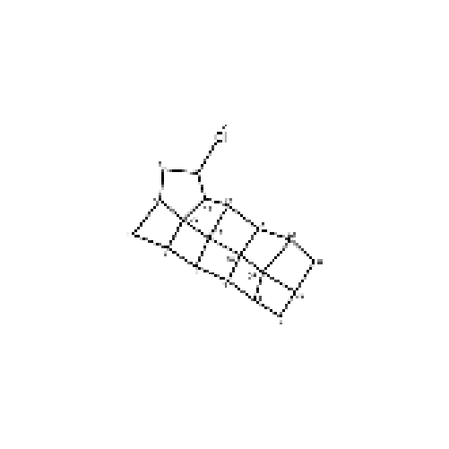 ClC1CC2CC3C4C5C6CC7CC8C9C%10C1C23C4%10C59C768